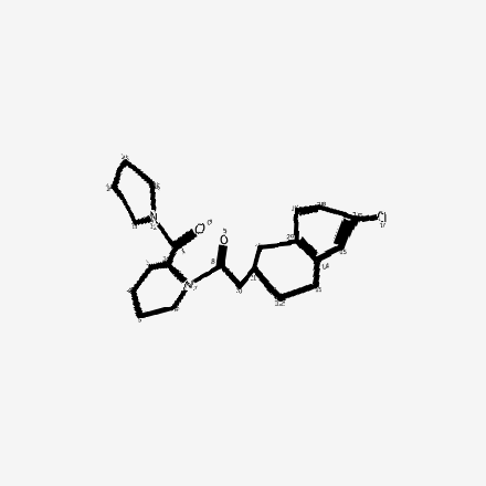 O=C(C1CCCCN1C(=O)CC1CCc2cc(Cl)ccc2C1)N1CCCC1